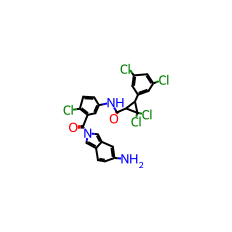 Nc1ccc2cn(C(=O)c3cc(NC(=O)C4C(c5cc(Cl)cc(Cl)c5)C4(Cl)Cl)ccc3Cl)cc2c1